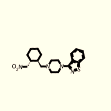 O=[N+]([O-])C[C@@H]1CCCC[C@H]1CN1CCN(c2nsc3ccccc23)CC1